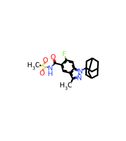 Cc1nn(C23CC4CC(CC(C4)C2)C3)c2cc(F)c(C(=O)NS(C)(=O)=O)cc12